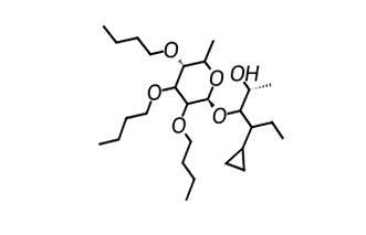 CCCCOC1C(OCCCC)[C@H](OCCCC)C(C)O[C@H]1OC(C(CC)C1CC1)[C@@H](C)O